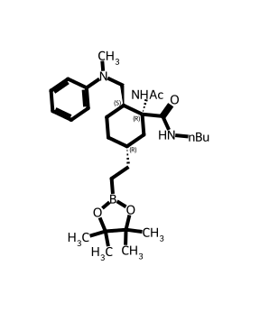 CCCCNC(=O)[C@@]1(NC(C)=O)C[C@H](CCB2OC(C)(C)C(C)(C)O2)CC[C@H]1CN(C)c1ccccc1